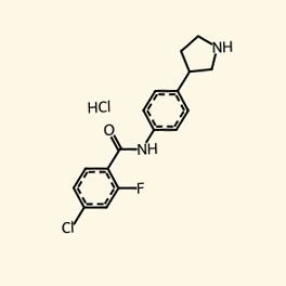 Cl.O=C(Nc1ccc(C2CCNC2)cc1)c1ccc(Cl)cc1F